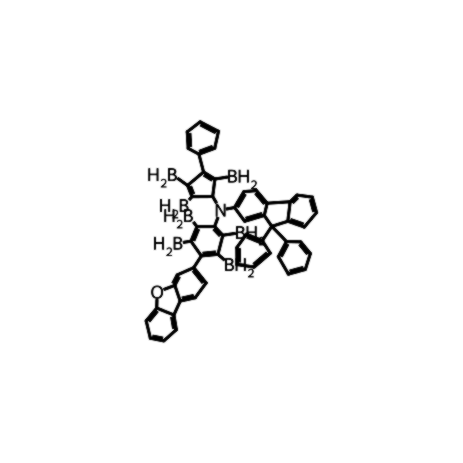 BC1=C(B)C(N(c2ccc3c(c2)C(c2ccccc2)(c2ccccc2)c2ccccc2-3)c2c(B)c(B)c(-c3ccc4c(c3)oc3ccccc34)c(B)c2B)C(B)=C1c1ccccc1